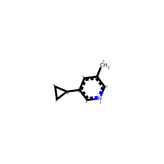 [CH2]c1cncc(C2CC2)c1